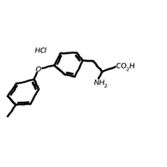 Cc1ccc(Oc2ccc(CC(N)C(=O)O)cc2)cc1.Cl